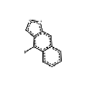 Ic1c2ccccc2cc2oncc12